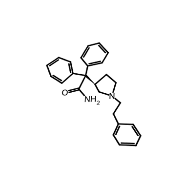 NC(=O)C(c1ccccc1)(c1ccccc1)[C@H]1CCN(CCc2ccccc2)C1